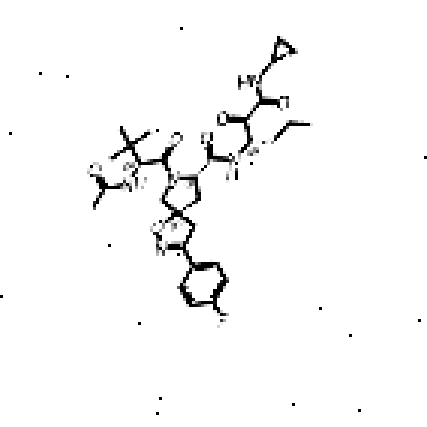 CCC[C@H](NC(=O)[C@@H]1C[C@]2(CC(c3ccc(F)cc3)=NO2)CN1C(=O)[C@@H](NC(C)=O)C(C)(C)C)C(=O)C(=O)NC1CC1